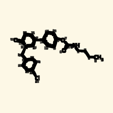 CCCCNC(=O)Oc1ccc(-c2ccc(=O)n(Cc3ccc(Cl)cc3)c2)cc1